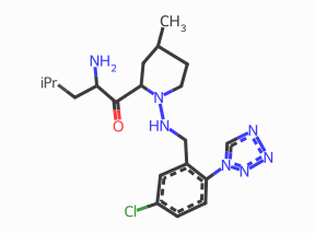 CC(C)CC(N)C(=O)C1CC(C)CCN1NCc1cc(Cl)ccc1-n1cnnn1